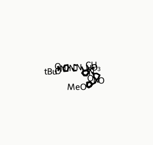 COc1ccc(CN2C(=O)CCC(n3c(=O)n(C)c4c(CN5CCN(C6CCN(C(=O)OC(C)(C)C)CC6)CC5)cccc43)C2=O)cc1